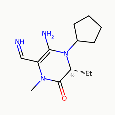 CC[C@@H]1C(=O)N(C)C(C=N)=C(N)N1C1CCCC1